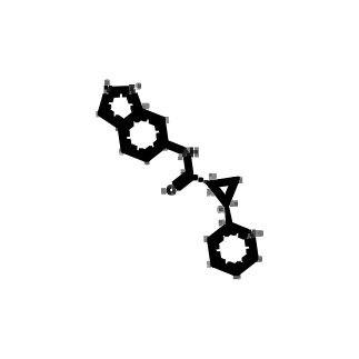 O=C(Nc1ccc2cnsc2c1)[C@@H]1C[C@H]1c1ccccn1